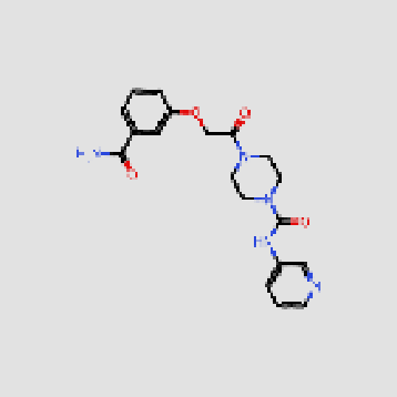 NC(=O)c1cccc(OCC(=O)N2CCN(C(=O)Nc3cccnc3)CC2)c1